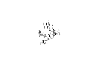 CNC(=O)Nc1ccc2c(c1)C(CC(=O)N(Cc1ccc(F)cc1)C1CN(C(=O)OC(C)(C)C)C1)C[C@@]21OC(=O)NC1=O